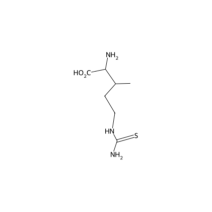 CC(CCNC(N)=S)C(N)C(=O)O